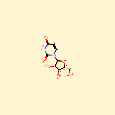 O=c1ccn(C2O[C@H](CO)C(O)C2O)c(=O)[nH]1